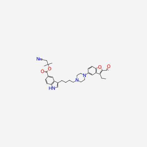 CCc1c([C]=O)oc2ccc(N3CCN(CCCCc4c[nH]c5ccc(C(=O)OC(C)(C)CC#N)cc45)CC3)cc12